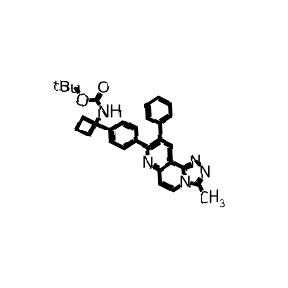 Cc1nnc2c3cc(-c4ccccc4)c(-c4ccc(C5(NC(=O)OC(C)(C)C)CCC5)cc4)nc3ccn12